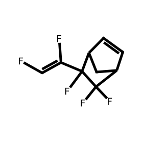 F/C=C(\F)C1(F)C2C=CC(C2)C1(F)F